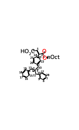 CCCCCCCCOC(=O)C=CC(=O)O.c1ccc([CH2][Sn]([CH2]c2ccccc2)[CH2]c2ccccc2)cc1